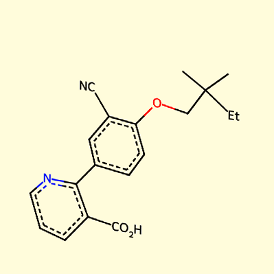 CCC(C)(C)COc1ccc(-c2ncccc2C(=O)O)cc1C#N